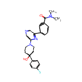 CN(C)C(=O)c1cccc(-c2cncc(N3CCC(O)(c4ccc(F)cc4)CC3)n2)c1